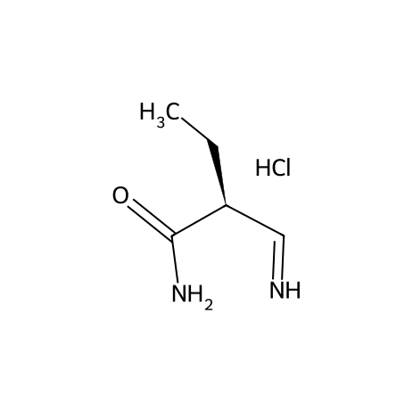 CC[C@@H](C=N)C(N)=O.Cl